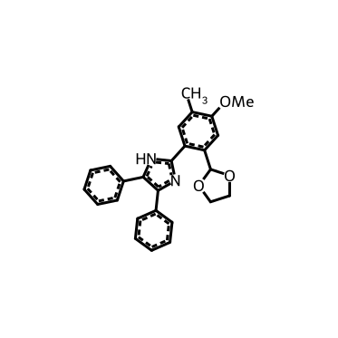 COc1cc(C2OCCO2)c(-c2nc(-c3ccccc3)c(-c3ccccc3)[nH]2)cc1C